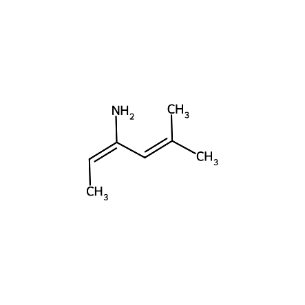 C/C=C(/N)C=C(C)C